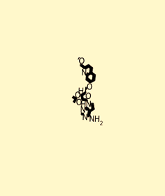 COCc1ccc2ccc(OC[C@H]3O[C@@H](n4ccc5c(N)ncnc54)[C@@H]4OC(C)(C)O[C@@H]43)cc2n1